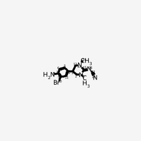 CN1CC(c2ccc(N)c(Br)c2)CN(C)C1=NC#N